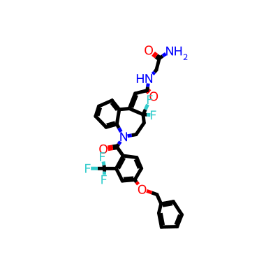 NC(=O)CNC(=O)C=C1c2ccccc2N(C(=O)c2ccc(OCc3ccccc3)cc2C(F)(F)F)CCC1(F)F